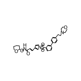 O=C(/C=C/c1ccn(S(=O)(=O)c2cccc(-c3ccc(CCN4CCOCC4)cc3)c2)c1)NOC1CCCCO1